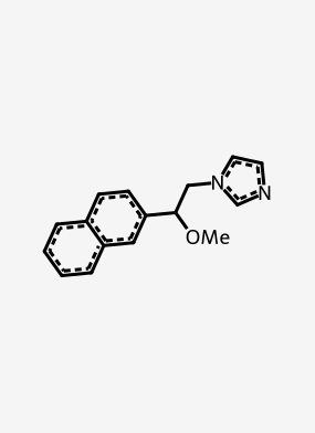 COC(Cn1ccnc1)c1ccc2ccccc2c1